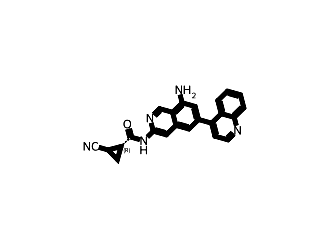 N#CC1C[C@H]1C(=O)Nc1cc2cc(-c3ccnc4ccccc34)cc(N)c2cn1